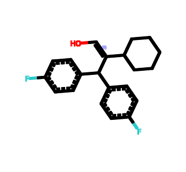 O/C=C(/C1CCCCC1)C(c1ccc(F)cc1)c1ccc(F)cc1